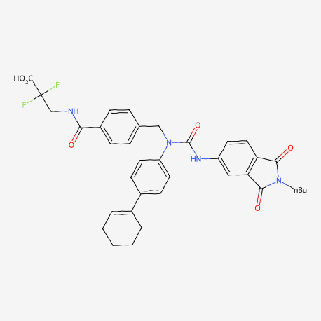 CCCCN1C(=O)c2ccc(NC(=O)N(Cc3ccc(C(=O)NCC(F)(F)C(=O)O)cc3)c3ccc(C4=CCCCC4)cc3)cc2C1=O